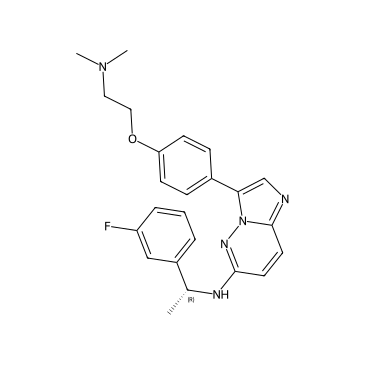 C[C@@H](Nc1ccc2ncc(-c3ccc(OCCN(C)C)cc3)n2n1)c1cccc(F)c1